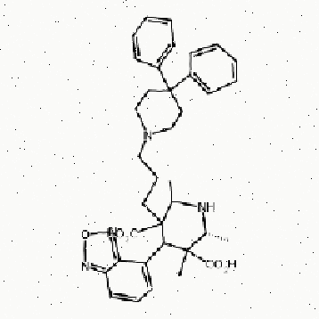 CC1N[C@H](C)C(C)(C(=O)O)C(c2cccc3nonc23)C1(CCCN1CCC(c2ccccc2)(c2ccccc2)CC1)C(=O)O